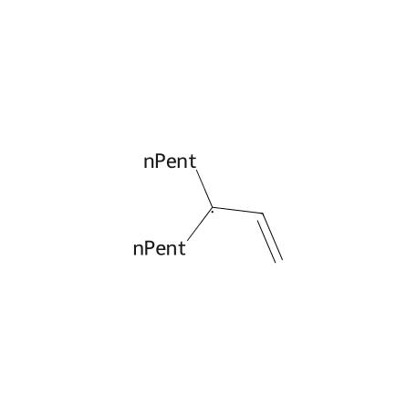 C=C[C](CCCCC)CCCCC